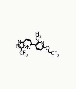 Cc1nc(OCC(F)(F)F)ccc1-c1ccc2nnc(C(F)(F)F)n2n1